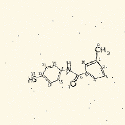 Cc1cccc(C(=O)Nc2ccc(S)cc2)c1